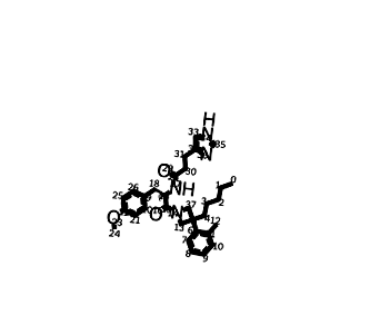 CCCCCC1(c2ccccc2C)CN(C(=O)[C@@H](Cc2ccc(OC)cc2)NC(=O)CCc2c[nH]cn2)C1